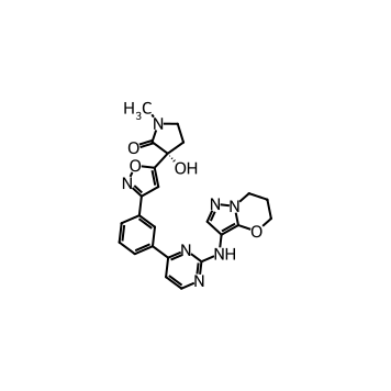 CN1CC[C@@](O)(c2cc(-c3cccc(-c4ccnc(Nc5cnn6c5OCCC6)n4)c3)no2)C1=O